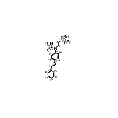 CCCCN(CCC)CCN(C(N)=O)c1ccc(OCc2ccccc2)cc1